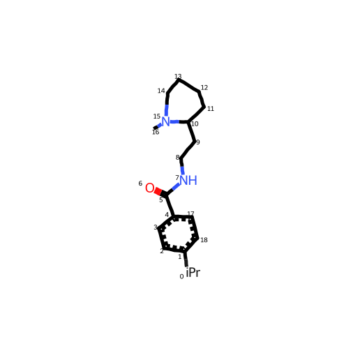 CC(C)c1ccc(C(=O)NCCC2CCCCN2C)cc1